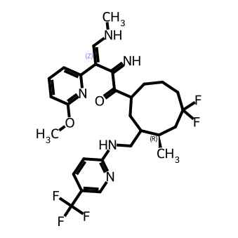 CN/C=C(\C(=N)C(=O)C1CCCC(F)(F)C[C@@H](C)C(CNc2ccc(C(F)(F)F)cn2)C1)c1cccc(OC)n1